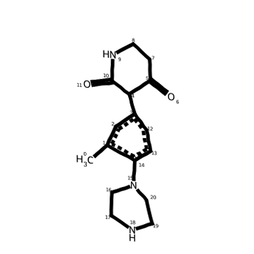 Cc1cc(C2C(=O)CCNC2=O)ccc1N1CCNCC1